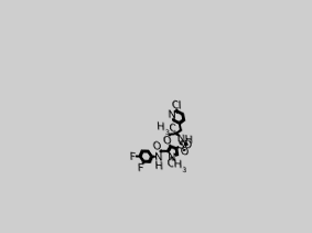 Cn1cc2c(c1C(=O)Nc1ccc(F)c(F)c1)OCC(C)(Cc1ccc(Cl)nc1)NS2(=O)=O